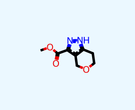 COC(=O)c1n[nH]c2c1COCC2